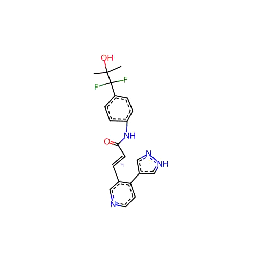 CC(C)(O)C(F)(F)c1ccc(NC(=O)/C=C/c2cnccc2-c2cn[nH]c2)cc1